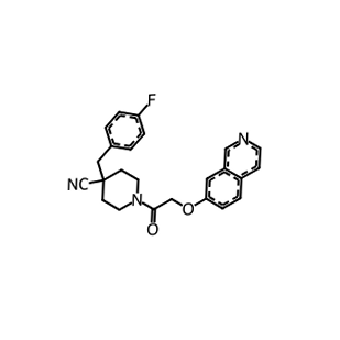 N#CC1(Cc2ccc(F)cc2)CCN(C(=O)COc2ccc3ccncc3c2)CC1